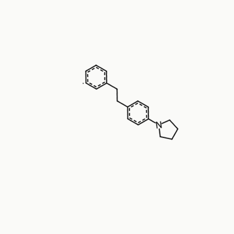 [c]1cccc(CCc2ccc(N3CCCC3)cc2)c1